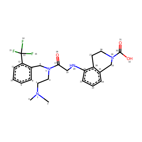 CN(C)CCN(Cc1ccccc1C(F)(F)F)C(=O)CNc1cccc2c1CCN(C(=O)O)C2